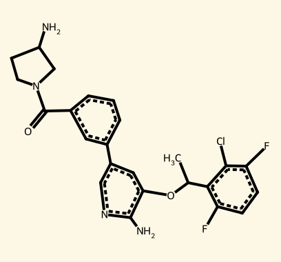 CC(Oc1cc(-c2cccc(C(=O)N3CCC(N)C3)c2)cnc1N)c1c(F)ccc(F)c1Cl